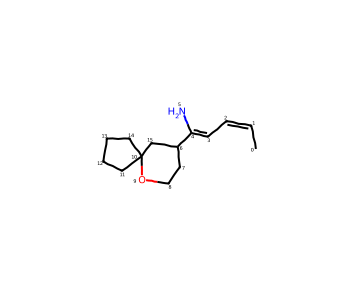 C/C=C\C=C(/N)C1CCOC2(CCCC2)C1